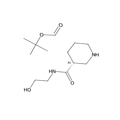 CC(C)(C)OC=O.O=C(NCCO)[C@@H]1CCCNC1